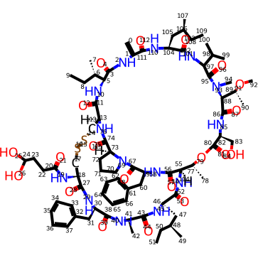 C=C1NC(=O)[C@H]([C@@H](C)CC)NC(=O)[C@@H]2CSSC[C@H](NC(=O)CCC(O)O)C(=O)N[C@H](Cc3ccccc3)C(=O)N[C@H](C)C(=O)N[C@@H](C[C@@H](C)CC)C(=O)N[C@@H](C(=O)NC(Cc3ccccc3)C(=O)N3CCC[C@H]3C(=O)N2)[C@@H](C)OC(=O)[C@H](CO)NC(=O)[C@H]([C@@H](C)OC)N(C)C(=O)C(C(C)C)NC(=O)[C@H](C[C@@H](C)CC)NC1=O